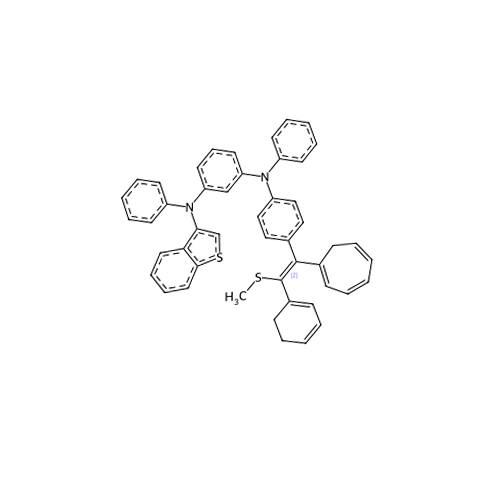 CS/C(C1=CC=CCC1)=C(/C1=CC=CC=CC1)c1ccc(N(c2ccccc2)c2cccc(N(c3ccccc3)c3csc4ccccc34)c2)cc1